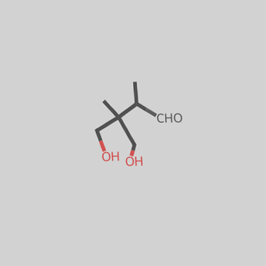 CC(C=O)C(C)(CO)CO